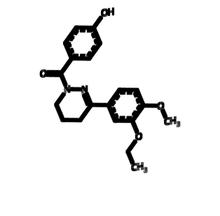 CCOc1cc(C2=NN(C(=O)c3ccc(O)cc3)CCC2)ccc1OC